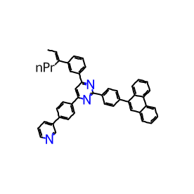 C/C=C(\CCC)c1cccc(-c2cc(-c3ccc(-c4cccnc4)cc3)nc(-c3ccc(-c4cc5ccccc5c5ccccc45)cc3)n2)c1